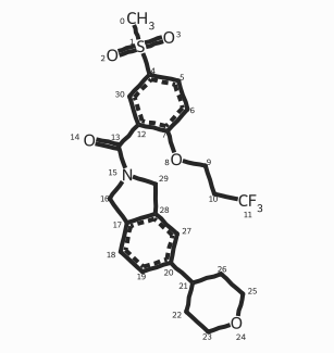 CS(=O)(=O)c1ccc(OCCC(F)(F)F)c(C(=O)N2Cc3ccc(C4CCOCC4)cc3C2)c1